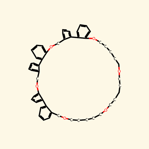 c1ccc2c(c1)COCCCCCOCCCCCOCCCCCOc1ccccc1-c1ccccc1COc1ccccc1-c1ccccc1COc1ccccc1-2